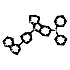 c1ccc(N(c2ccccc2)c2ccc3c(c2)c2cccnc2n3-c2ccc(-c3ccnc4ncccc34)cc2)cc1